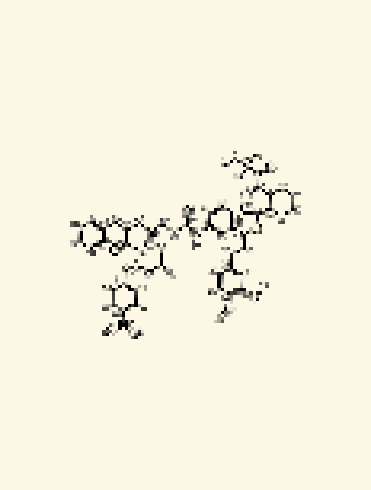 CCC(C)(C)C(=O)C(=O)C1CCCCC1C(=O)OC(CCc1ccc(OC)c(OC)c1)c1cccc(NC(=O)CCC(=O)CC(Cc2ccccc2)C(O)CN(CC(C)C)Sc2ccc([N+](=O)[O-])cc2)c1